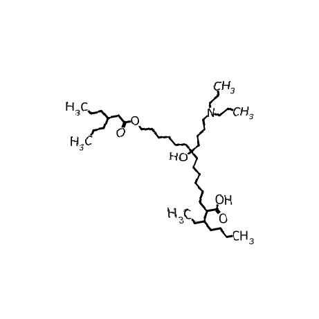 CCCCC(CC)C(CCCCCCC(O)(CCCCCCOC(=O)CC(CCC)CCC)CCCCN(CCC)CCC)C(=O)O